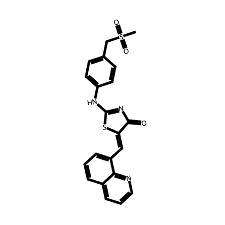 CS(=O)(=O)Cc1ccc(NC2=NC(=O)C(=Cc3cccc4cccnc34)S2)cc1